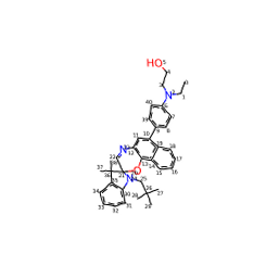 CCN(CCO)c1ccc(-c2cc3c(c4ccccc24)OC2(C=N3)N(CC(C)(C)C)c3ccccc3C2(C)C)cc1